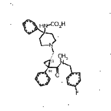 CN(Cc1ccc(F)cc1)C(=O)[C@]1(c2ccccc2)C[C@@H]1CN1CCC(NC(=O)O)(c2ccccc2)CC1